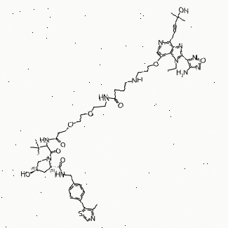 CCn1c(-c2nonc2N)nc2c(C#CC(C)(C)O)ncc(OCCCNCCCC(=O)NCCOCCOCCC(=O)NC(C(=O)N3C[C@H](O)C[C@H]3C(=O)NCc3ccc(-c4scnc4C)cc3)C(C)(C)C)c21